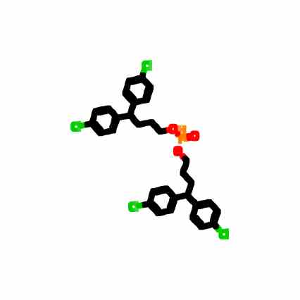 O=[PH](OCCCC(c1ccc(Cl)cc1)c1ccc(Cl)cc1)OCCCC(c1ccc(Cl)cc1)c1ccc(Cl)cc1